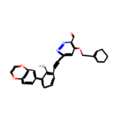 Cc1c(C#Cc2cc(OCC3CCCCC3)c(C=O)nn2)cccc1-c1ccc2c(c1)OCCO2